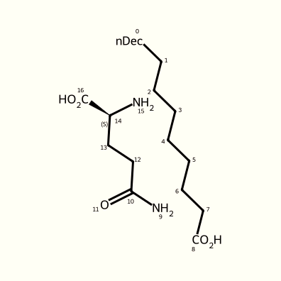 CCCCCCCCCCCCCCCCCC(=O)O.NC(=O)CC[C@H](N)C(=O)O